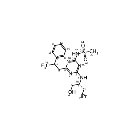 CC(C)C[C@H](CO)Nc1nc(CC(c2ccccc2)C(F)(F)F)nc(NS(C)(=O)=O)n1